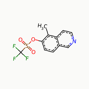 Cc1c(OS(=O)(=O)C(F)(F)F)ccc2cnccc12